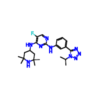 CC(C)n1nnnc1-c1cccc(Nc2ncc(F)c(NC3CC(C)(C)NC(C)(C)C3)n2)c1